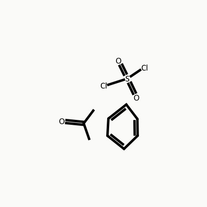 CC(C)=O.O=S(=O)(Cl)Cl.c1ccccc1